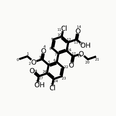 CCOC(=O)c1c(-c2ccc(Cl)c(C(=O)O)c2C(=O)OCC)ccc(Cl)c1C(=O)O